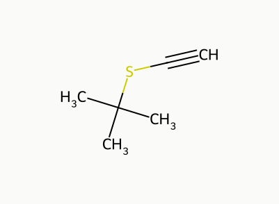 C#CSC(C)(C)C